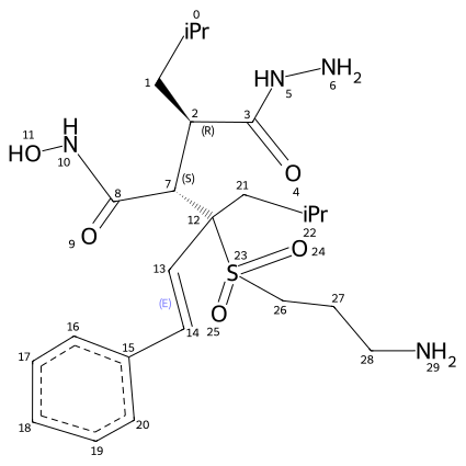 CC(C)C[C@@H](C(=O)NN)[C@@H](C(=O)NO)C(/C=C/c1ccccc1)(CC(C)C)S(=O)(=O)CCCN